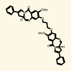 COc1cc2c(cc1OCCCOc1cc3c(cc1OC)C(=O)N1C=C(c4ccccc4)C[C@H]1C=N3)N=C[C@@H]1CC(c3ccccc3)=CN1C2=O